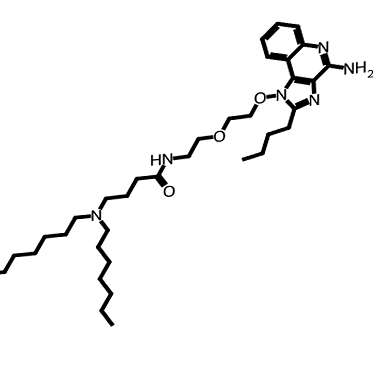 CCCCCCCN(CCCCCCC)CCCC(=O)NCCOCCOn1c(CCCC)nc2c(N)nc3ccccc3c21